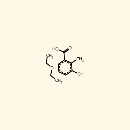 CCOCC.Cc1c(O)cccc1C(=O)O